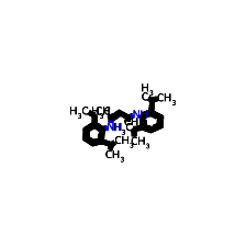 CC(=CC(C)Nc1c(C(C)C)cccc1C(C)C)Nc1c(C(C)C)cccc1C(C)C